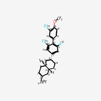 CCCC1CC[C@@H]2C[C@H](c3cc(F)c(-c4ccc(OC(F)(F)F)c(F)c4)c(F)c3)CC[C@@H]2C1